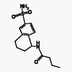 CCCC(=O)NC1CCCc2cc(S(N)(=O)=O)ccc21